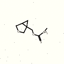 C[SH2]C(=S)OCC12COCC1C2